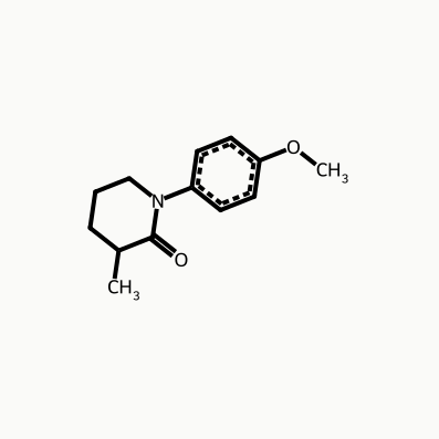 COc1ccc(N2CCCC(C)C2=O)cc1